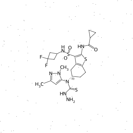 Cc1cc(N(C(=S)NN)[C@H]2CCc3sc(NC(=O)C4CC4)c(S(=O)(=O)NC4CC(F)(F)C4)c3C2)n(C)n1